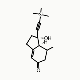 CC1CC(=O)C=C2CC[C@@](O)(C#C[Si](C)(C)C)[C@H]21